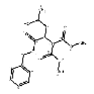 CC(O)CC(C(=O)OCc1ccccc1)N(C(=O)OC(C)(C)C)C(=O)OC(C)(C)C